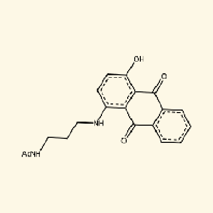 CC(=O)NCCCNc1ccc(O)c2c1C(=O)c1ccccc1C2=O